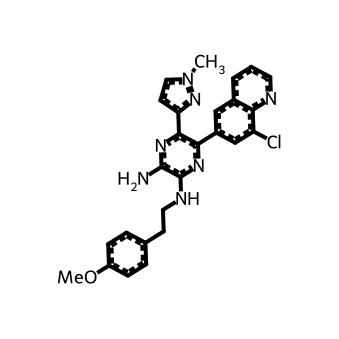 COc1ccc(CCNc2nc(-c3cc(Cl)c4ncccc4c3)c(-c3ccn(C)n3)nc2N)cc1